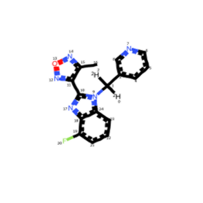 [2H]C([2H])(c1cccnc1)n1c(-c2nonc2C)nc2c(F)cccc21